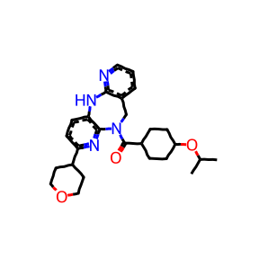 CC(C)OC1CCC(C(=O)N2Cc3cccnc3Nc3ccc(C4CCOCC4)nc32)CC1